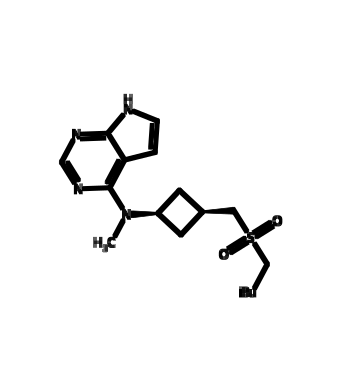 CCC(C)CS(=O)(=O)C[C@H]1C[C@@H](N(C)c2ncnc3[nH]ccc23)C1